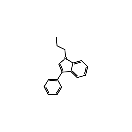 CCCn1cc(-c2ccccc2)c2ccccc21